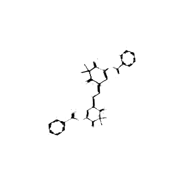 CC1(C)C(=O)C(OC(=O)c2ccccc2)=C/C(=C/C=C2/C=C(OC(=O)c3ccccc3)C(=O)C(C)(C)C2=O)C1=O